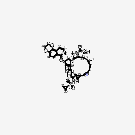 CC[C@@H]1C[C@@H](C)CC/C=C\C2CC2(C(=O)NS(=O)(=O)C2CC2)NC(=O)[C@@H]2C[C@@H](Oc3nccc4c5c(ccc34)OCCO5)CN2C(=O)[C@H]1NC(=O)O